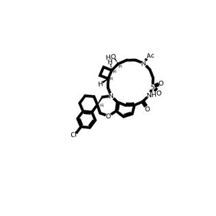 CC(=O)N1CC[C@@H](O)[C@@H]2CC[C@H]2CN2C[C@@]3(CCCc4cc(Cl)ccc43)COc3ccc(cc32)C(=O)NS(=O)(=O)CC1